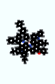 CC(C)(C)c1cc(-c2cccc3oc4ccccc4c23)c(-c2ccc3c(c2)N(c2c(-c4ccccc4)cccc2-c2ccccc2)c2cc(-n4c5ccc(C(C)(C)C)cc5c5cc(C(C)(C)C)ccc54)cc4c2B3c2ccc(-c3ccc(-c5ccccc5)cc3-c3ccccc3)cc2N4c2ccc(-c3ccccc3)cc2-c2ccccc2)c(-n2c3ccccc3c3ccccc32)c1